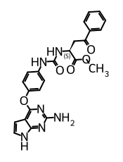 COC(=O)[C@H](CC(=O)c1ccccc1)NC(=O)Nc1ccc(Oc2nc(N)nc3[nH]ccc23)cc1